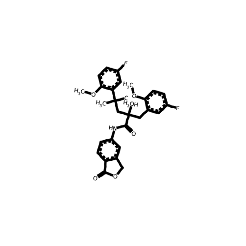 COc1ccc(F)cc1CC(O)(CC(C)(C)c1cc(F)ccc1OC)C(=O)Nc1ccc2c(c1)COC2=O